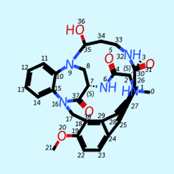 CN[C@@H](C)C(=O)N[C@H]1CN2c3ccccc3N(Cc3c(OC)ccc4cc(ccc34)C(=O)NCCC2O)C1=O